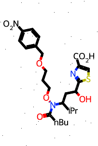 CCCCC(=O)N(OCCCOCc1ccc([N+](=O)[O-])cc1)C(CC(O)c1nc(C(=O)O)cs1)C(C)C